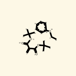 C=C(C(=O)OC(C)(C)C)C(=O)OC(C)(C)C.CCOc1ccccc1